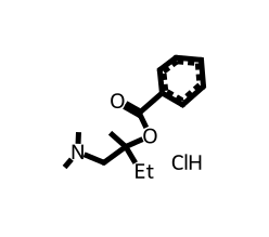 CCC(C)(CN(C)C)OC(=O)c1ccccc1.Cl